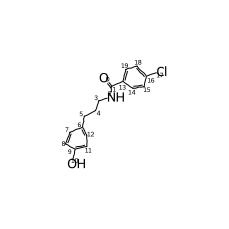 O=C(NCCCc1ccc(O)cc1)c1ccc(Cl)cc1